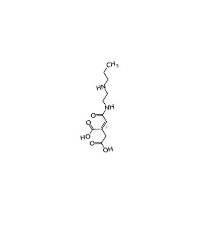 CCCNCCNC(=O)/C=C(/CC(=O)O)C(=O)O